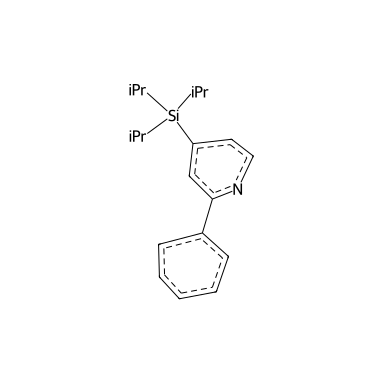 CC(C)[Si](c1ccnc(-c2ccccc2)c1)(C(C)C)C(C)C